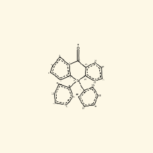 O=C1c2ccccc2[Si](c2ccccc2)(c2ccccc2)c2ccccc21